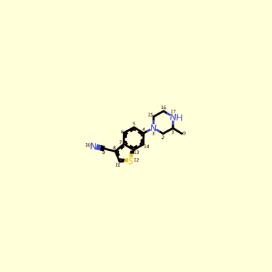 CC1CN(c2ccc3c(C#N)csc3c2)CCN1